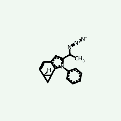 CC(N=[N+]=[N-])c1cc2c(n1-c1ccccc1)C1C[C@@H]1C=C2